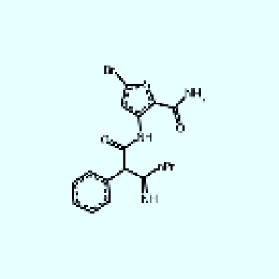 CCCC(=N)C(C(=O)Nc1cc(Br)sc1C(N)=O)c1ccccc1